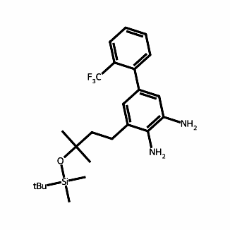 CC(C)(CCc1cc(-c2ccccc2C(F)(F)F)cc(N)c1N)O[Si](C)(C)C(C)(C)C